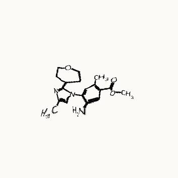 COC(=O)c1cc(N)c(-n2cc(C)nc2C2CCOCC2)cc1C